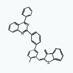 C=c1/c(=C\c2cc(-c3cccc(-c4nc(-c5ccccc5)c5ccccc5n4)c3)ccc2C)sc2ccccc12